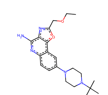 CCOCc1nc2c(N)nc3ccc(N4CCN(C(C)(C)C)CC4)cc3c2o1